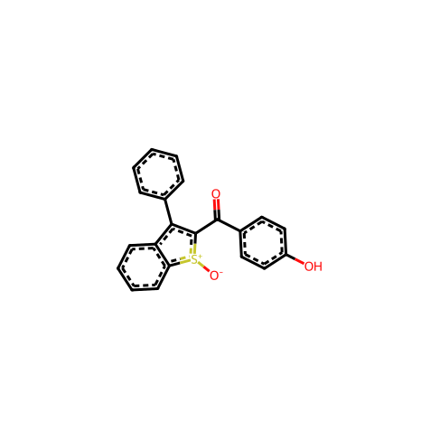 O=C(c1ccc(O)cc1)c1c(-c2ccccc2)c2ccccc2[s+]1[O-]